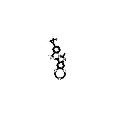 Cc1nc(N[C@H](C)c2cccc(C3CC3(F)F)c2)c2cc3c(cc2n1)OCCOCCO3